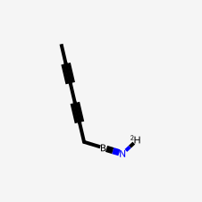 [2H]/N=B/CC#CC#CC